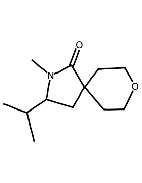 CC(C)C1CC2(CCOCC2)C(=O)N1C